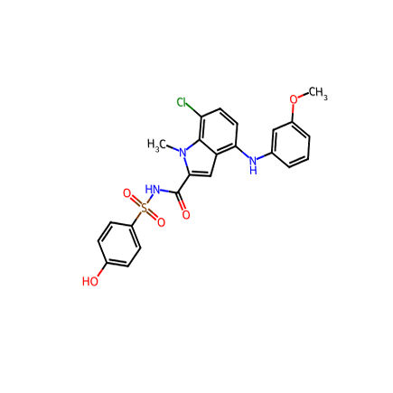 COc1cccc(Nc2ccc(Cl)c3c2cc(C(=O)NS(=O)(=O)c2ccc(O)cc2)n3C)c1